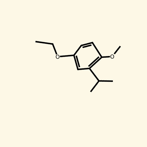 CCOc1ccc(OC)c(C(C)C)c1